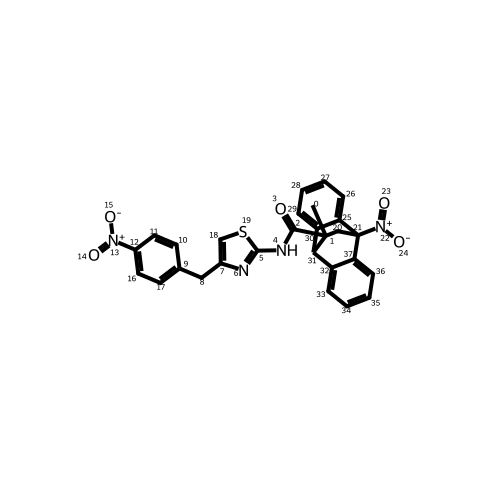 CC1(C(=O)Nc2nc(Cc3ccc([N+](=O)[O-])cc3)cs2)CC2([N+](=O)[O-])c3ccccc3C1c1ccccc12